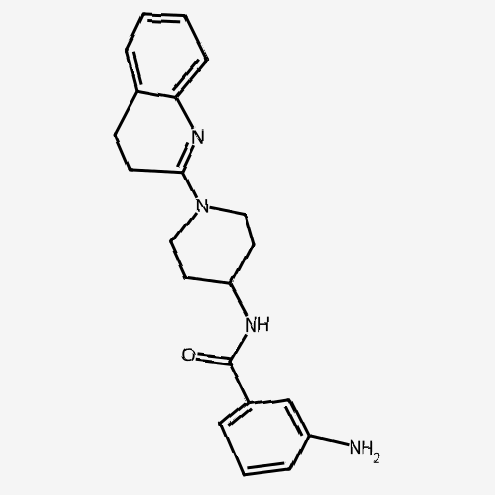 Nc1cccc(C(=O)NC2CCN(C3=Nc4ccccc4CC3)CC2)c1